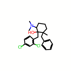 CN(C)C1CCCC(C)(Cc2ccccc2)C1(O)Cc1ccc(Cl)cc1Cl